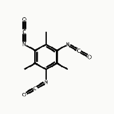 Cc1c(N=C=O)c(C)c(N=C=O)c(C)c1N=C=O